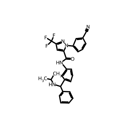 CC(C)NC(c1ccccc1)c1cccc(NC(=O)c2cc(C(F)(F)F)nn2-c2cccc(C#N)c2)c1